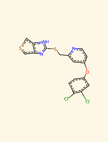 Clc1ccc(Oc2ccnc(CSc3nc4cscc4[nH]3)c2)cc1Cl